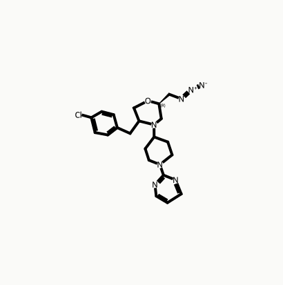 [N-]=[N+]=NC[C@H]1CN(C2CCN(c3ncccn3)CC2)C(Cc2ccc(Cl)cc2)CO1